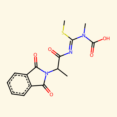 CSC(=NC(=O)C(C)N1C(=O)c2ccccc2C1=O)N(C)C(=O)O